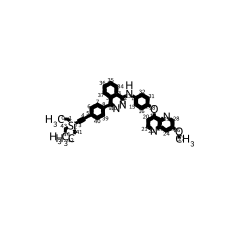 CC[Si](C#Cc1ccc(-c2nnc(Nc3ccc(Oc4ccnc5cc(OC)cnc45)cc3)c3ccccc23)cc1)(CC)CC